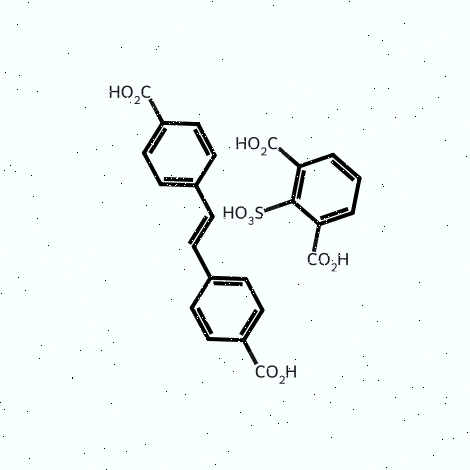 O=C(O)c1ccc(C=Cc2ccc(C(=O)O)cc2)cc1.O=C(O)c1cccc(C(=O)O)c1S(=O)(=O)O